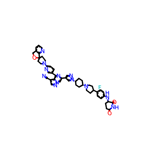 N#Cc1cnn2cc(-c3cnn([C@H]4CC[C@H](N5CCC(c6ccc(NC7CCC(=O)NC7=O)cc6F)CC5)CC4)c3)nc(-c3ccc(N4CCC5(CC4)OCc4cccnc45)nc3)c12